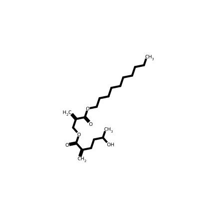 C=C(CCC(C)O)C(=O)OCC(=C)C(=O)OCCCCCCCCCC